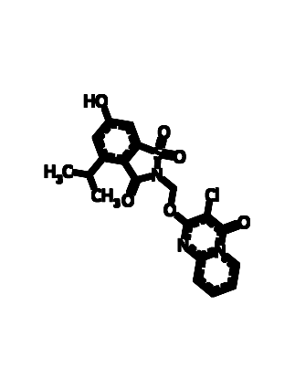 CC(C)c1cc(O)cc2c1C(=O)N(COc1nc3ccccn3c(=O)c1Cl)S2(=O)=O